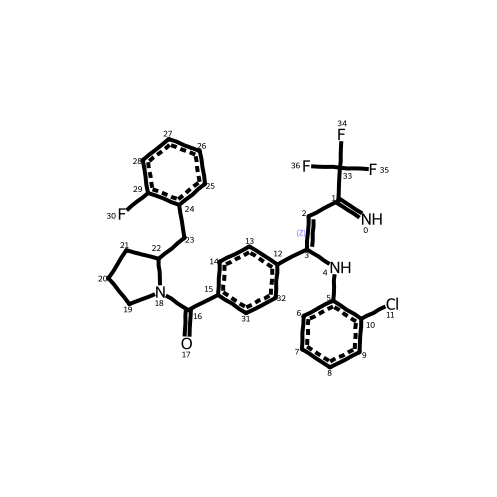 N=C(/C=C(\Nc1ccccc1Cl)c1ccc(C(=O)N2CCCC2Cc2ccccc2F)cc1)C(F)(F)F